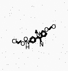 CCn1c(-c2ccc(NC(=O)OCCCl)cc2)c(C#N)c2ccc(OCCOC)cc21